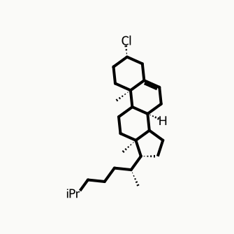 CC(C)CCC[C@@H](C)[C@H]1CCC2[C@@H]3CC=C4C[C@@H](Cl)CC[C@]4(C)C3CC[C@@]21C